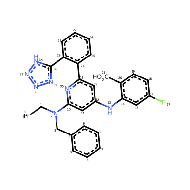 CC(C)CN(Cc1ccccc1)c1cc(Nc2cc(F)ccc2C(=O)O)cc(-c2ccccc2-c2nnn[nH]2)n1